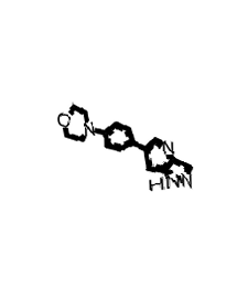 c1cc(N2CCOCC2)ccc1-c1cnc2cn[nH]c2c1